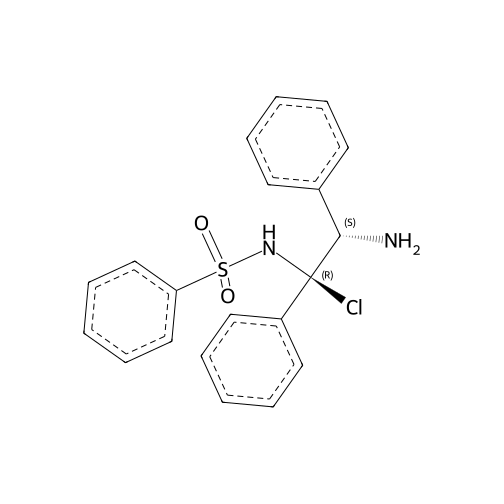 N[C@@H](c1ccccc1)[C@@](Cl)(NS(=O)(=O)c1ccccc1)c1ccccc1